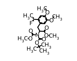 COC(=O)C(Cc1cc(OC)c(OC)cc1I(C)F)N(C(=O)OC)C(=O)OC(C)(C)C